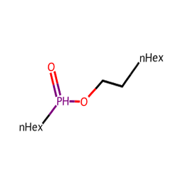 CCCCCCCCO[PH](=O)CCCCCC